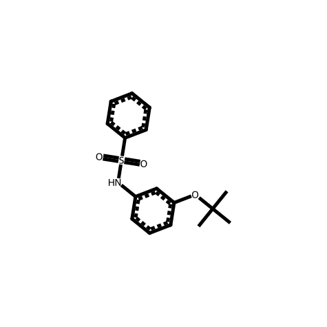 CC(C)(C)Oc1cccc(NS(=O)(=O)c2ccccc2)c1